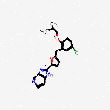 CC(C)COc1ccc(Cl)cc1Cc1ccc(-c2nc3cnccc3[nH]2)o1